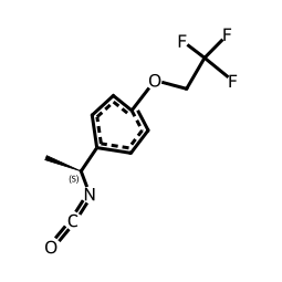 C[C@H](N=C=O)c1ccc(OCC(F)(F)F)cc1